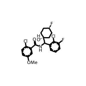 COc1ccc(Cl)c(C(=O)NC(c2cccc(F)c2Cl)[C@]2(O)CC[C@H](F)CC2)c1